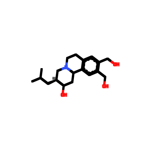 CC(C)C[C@H]1CN2CCc3cc(CO)c(CO)cc3C2CC1O